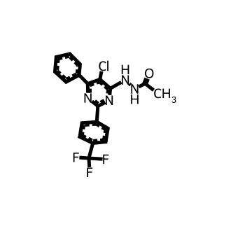 CC(=O)NNc1nc(-c2ccc(C(F)(F)F)cc2)nc(-c2ccccc2)c1Cl